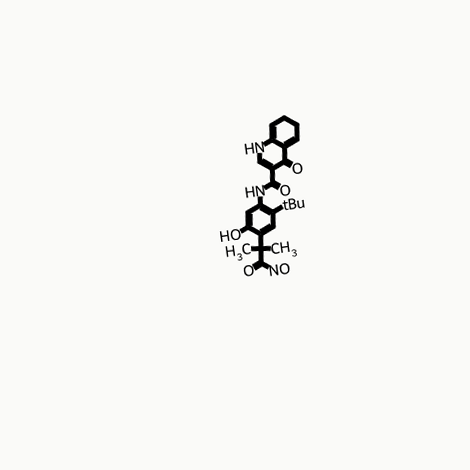 CC(C)(C)c1cc(C(C)(C)C(=O)N=O)c(O)cc1NC(=O)c1c[nH]c2c(c1=O)=CCCC=2